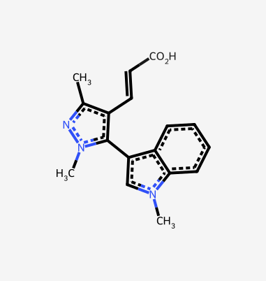 Cc1nn(C)c(-c2cn(C)c3ccccc23)c1/C=C/C(=O)O